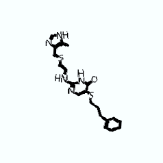 Cc1[nH]cnc1CSCCNc1ncc(SCCCc2ccccc2)c(=O)[nH]1